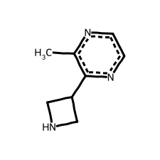 Cc1nccnc1C1CNC1